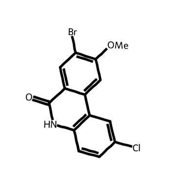 COc1cc2c(cc1Br)c(=O)[nH]c1ccc(Cl)cc12